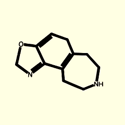 C1=C2OCN=C2C2=C(C1)CCNCC2